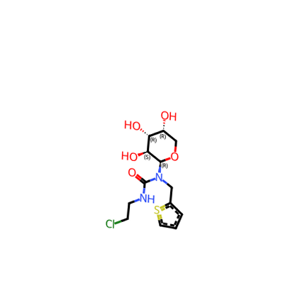 O=C(NCCCl)N(Cc1cccs1)[C@@H]1OC[C@@H](O)[C@@H](O)[C@@H]1O